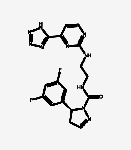 O=C(NCCNc1nccc(-c2nnn[nH]2)n1)N1N=CC[C@H]1c1cc(F)cc(F)c1